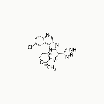 CC(c1c[nH]nn1)c1nc2cnc3ccc(Cl)cc3c2n1[C@@H]1CCO[C@H](C)C1